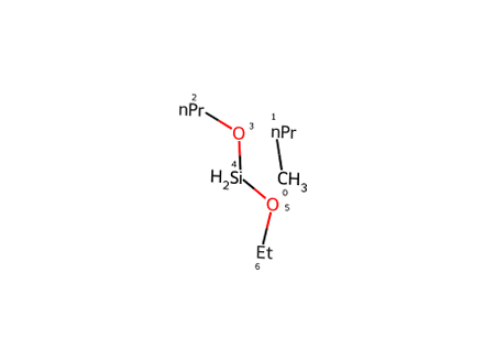 CCCC.CCCO[SiH2]OCC